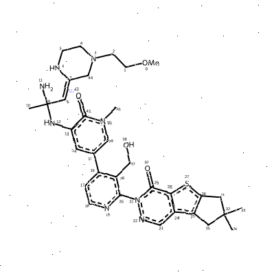 COCCN1CCN/C(=C\C(C)(N)Nc2cc(-c3ccnc(-n4ncc5c6c(sc5c4=O)CC(C)(C)C6)c3CO)cn(C)c2=O)C1